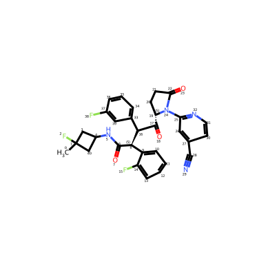 CC1(F)CC(NC(=O)[C@H](c2ccccc2F)C(C(=O)[C@@H]2CCC(=O)N2c2cc(C#N)ccn2)c2cccc(F)c2)C1